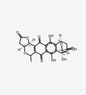 CC1O[C@H]2CC(=O)O[C@H]2C2=C1C(=O)c1c(O)c3c(c(O)c1C2=O)[C@H]1C[C@@H](O)[C@]3(O)[C@@H](C)O1